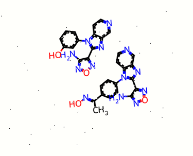 C/C(=N\O)c1ccc(-n2c(-c3nonc3N)nc3cnccc32)cc1.Nc1nonc1-c1nc2cnccc2n1-c1cccc(O)c1